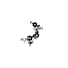 CC(NC(=O)N1CC2(CCn3nc(-c4cnc(N)c(OC(F)F)c4)cc32)C1)c1ccc(F)cc1